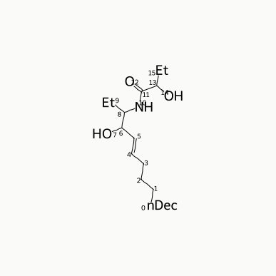 CCCCCCCCCCCCC/C=C/C(O)C(CC)NC(=O)C(O)CC